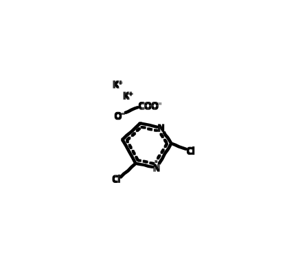 Clc1ccnc(Cl)n1.O=C([O-])[O-].[K+].[K+]